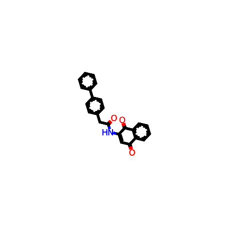 O=C(Cc1ccc(-c2ccccc2)cc1)NC1=CC(=O)c2ccccc2C1=O